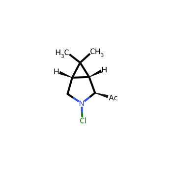 CC(=O)[C@@H]1[C@@H]2[C@H](CN1Cl)C2(C)C